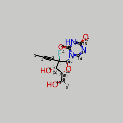 CC#CC1(F)[C@@H](O)[C@@H]([C@H](C)O)O[C@H]1n1cnc(=O)[nH]c1=O